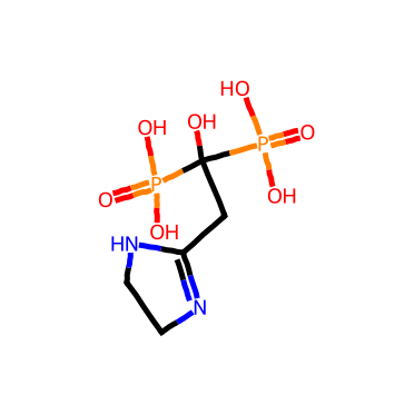 O=P(O)(O)C(O)(CC1=NCCN1)P(=O)(O)O